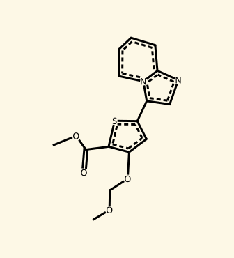 COCOc1cc(-c2cnc3ccccn23)sc1C(=O)OC